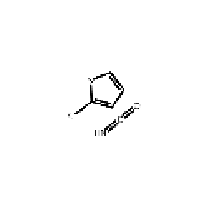 Clc1cccs1.N=C=O